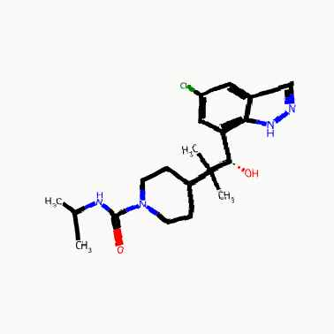 CC(C)NC(=O)N1CCC(C(C)(C)[C@@H](O)c2cc(Cl)cc3cn[nH]c23)CC1